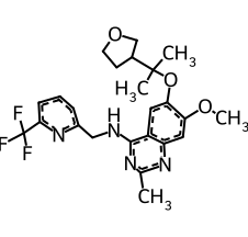 COc1cc2nc(C)nc(NCc3cccc(C(F)(F)F)n3)c2cc1OC(C)(C)C1CCOC1